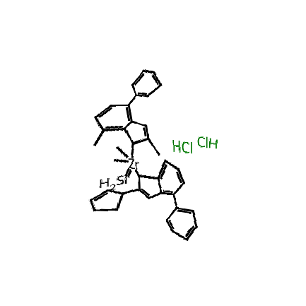 CC1=Cc2c(-c3ccccc3)ccc(C)c2[CH]1[Zr]([CH3])([CH3])(=[SiH2])[CH]1C(C2C=CCC2)=Cc2c(-c3ccccc3)cccc21.Cl.Cl